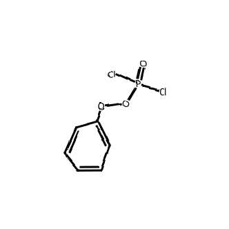 O=P(Cl)(Cl)OOc1ccccc1